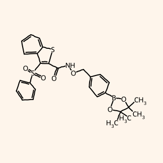 CC1(C)OB(c2ccc(CONC(=O)c3sc4ccccc4c3S(=O)(=O)c3ccccc3)cc2)OC1(C)C